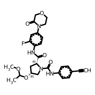 C#Cc1ccc(NC(=O)N2C[C@H](OC(C)OC)C[C@@H]2C(=O)Nc2ccc(N3CCOCC3=O)cc2F)cc1